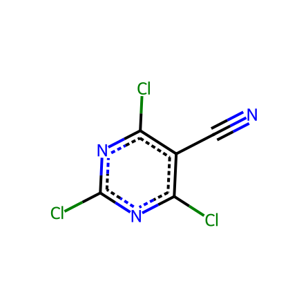 N#Cc1c(Cl)nc(Cl)nc1Cl